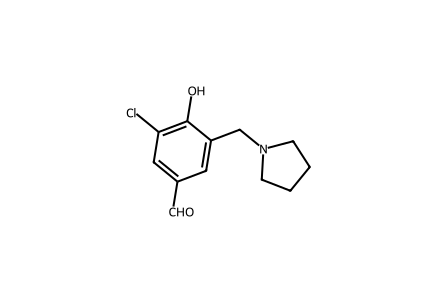 O=Cc1cc(Cl)c(O)c(CN2CCCC2)c1